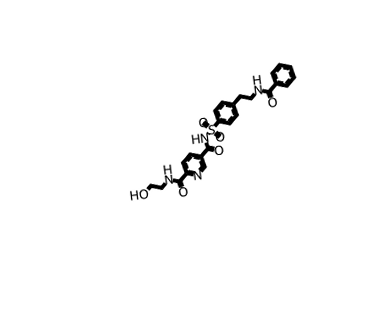 O=C(NCCc1ccc(S(=O)(=O)NC(=O)c2ccc(C(=O)NCCO)nc2)cc1)c1ccccc1